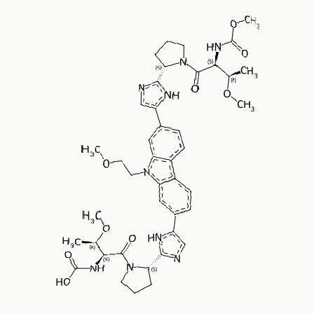 COCCn1c2cc(-c3cnc([C@@H]4CCCN4C(=O)[C@@H](NC(=O)O)[C@@H](C)OC)[nH]3)ccc2c2ccc(-c3cnc([C@@H]4CCCN4C(=O)[C@@H](NC(=O)OC)[C@@H](C)OC)[nH]3)cc21